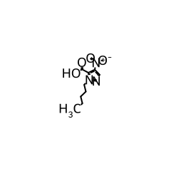 CCCCCn1ncc([N+](=O)[O-])c1C(=O)O